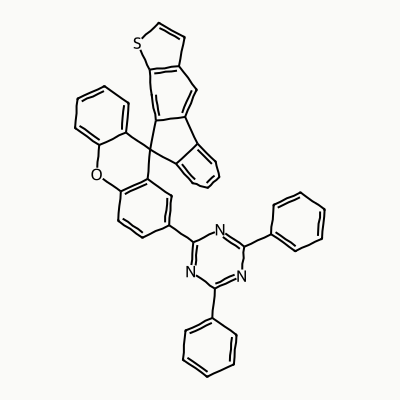 c1ccc(-c2nc(-c3ccccc3)nc(-c3ccc4c(c3)C3(c5ccccc5O4)c4ccccc4-c4cc5ccsc5cc43)n2)cc1